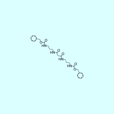 O=C(CC(=O)NCCCNC(=O)OCc1ccccc1)NCCCNC(=O)OCc1ccccc1